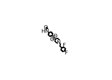 O=CNc1ccc(S(=O)(=O)C2CCN(CCc3ccc(F)cc3F)CC2)cc1